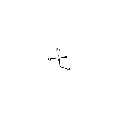 CC[Si](Cl)(Cl)CC(C)C